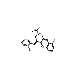 CC(=O)N1CC(=Cc2ccccc2F)C(=O)C(=Cc2ccccc2F)C1